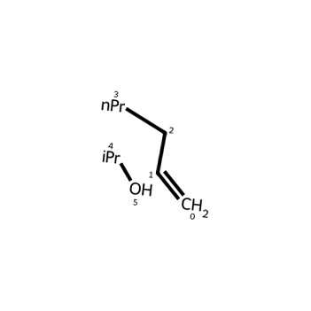 C=CCCCC.CC(C)O